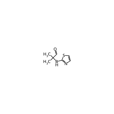 CC(C)(Bc1nccs1)C=O